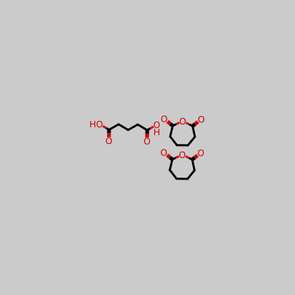 O=C(O)CCCC(=O)O.O=C1CCCCC(=O)O1.O=C1CCCCC(=O)O1